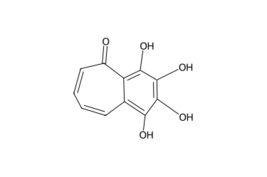 O=c1ccccc2c(O)c(O)c(O)c(O)c12